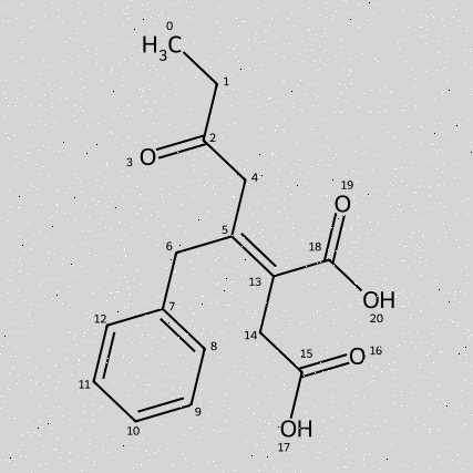 CCC(=O)CC(Cc1ccccc1)=C(CC(=O)O)C(=O)O